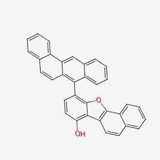 Oc1ccc(-c2c3ccccc3cc3c2ccc2ccccc23)c2oc3c4ccccc4ccc3c12